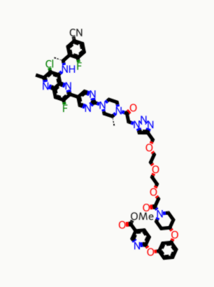 COC(=O)c1ccc(Oc2cccc(OC3CCN(C(=O)COCCOCCOCc4cn(CC(=O)N5CCN(c6ncc(-c7nc8c(N[C@H](C)c9cc(C#N)ccc9F)c(Cl)c(C)nc8cc7F)cn6)C[C@H]5C)nn4)CC3)c2)nc1